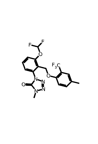 Cc1ccc(OCc2c(OC(F)F)cccc2-n2nnn(C)c2=O)c(C(F)(F)F)c1